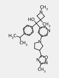 Cc1noc(C2CCN(c3cncc(C(O)(c4ccc(C(C)C)cc4)C4(C)CN(C)C4)c3)C2)n1